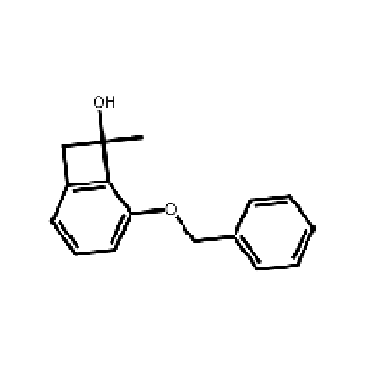 CC1(O)Cc2cccc(OCc3ccccc3)c21